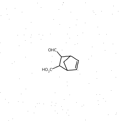 O=CC1C2C=CC(C2)C1C(=O)O